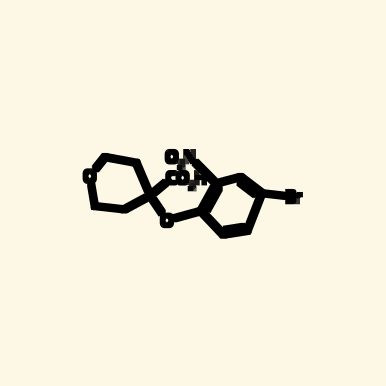 O=C(O)C1(Oc2ccc(Br)cc2[N+](=O)[O-])CCOCC1